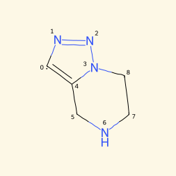 [c]1nnn2c1CNCC2